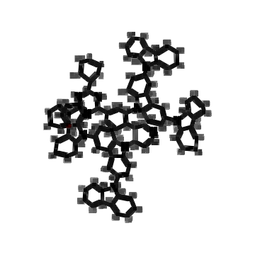 c1ccc(-c2nc(-c3ccccc3)nc(-c3ccc(-c4cnccc4-n4c5ccc(-n6c7ccccc7c7ccccc76)cc5c5cc(-n6c7ccccc7c7ccccc76)ccc54)c(-n4c5ccc(-n6c7ccccc7c7ccccc76)cc5c5cc(-n6c7ccccc7c7ccccc76)ccc54)c3)n2)cc1